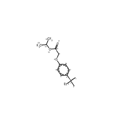 CCC(C)(C)c1ccc(OCC(=O)OC(C(F)(F)F)C(F)(F)F)cc1